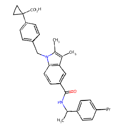 Cc1c(C)n(Cc2ccc(C3(C(=O)O)CC3)cc2)c2ccc(C(=O)NC(C)c3ccc(C(C)C)cc3)cc12